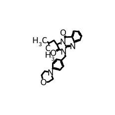 CC(C)CC1C(=O)N(Cc2ccc(N3CCOCC3)cc2)c2nc3ccccc3c(=O)n21